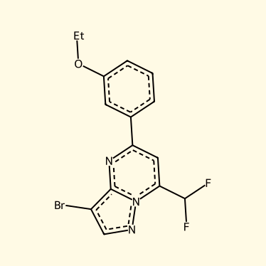 CCOc1cccc(-c2cc(C(F)F)n3ncc(Br)c3n2)c1